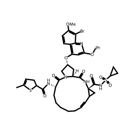 COc1ccc2c(O[C@@H]3C[C@H]4C(=O)N[C@]5(C(=O)NS(=O)(=O)C6CC6)CC5/C=C\CCCCC[C@H](NC(=O)C5CC=C(C)S5)C(=O)N4C3)cc(OC(C)C)nc2c1Br